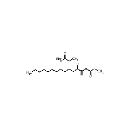 CCC(=O)[O-].CCCCCCCCCCCC(=O)NOC(=O)CC.[Na+]